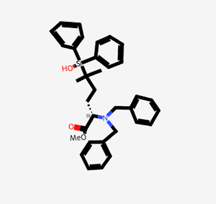 COC(=O)[C@H](CCC(C)(C)[Si](O)(c1ccccc1)c1ccccc1)N(Cc1ccccc1)Cc1ccccc1